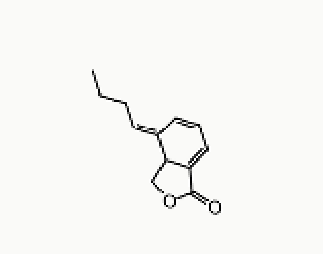 CCCC=C1C=CC=C2C(=O)OCC12